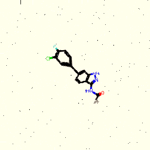 CC(C)C(=O)Nc1n[nH]c2cc(-c3ccc(F)c(Cl)c3)ccc12